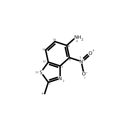 Cc1nc2c([N+](=O)[O-])c(N)ccc2s1